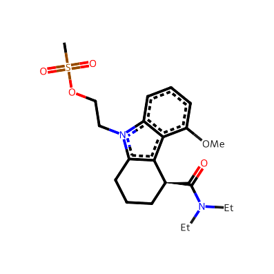 CCN(CC)C(=O)[C@H]1CCCc2c1c1c(OC)cccc1n2CCOS(C)(=O)=O